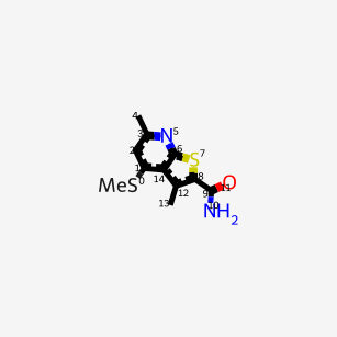 CSc1cc(C)nc2sc(C(N)=O)c(C)c12